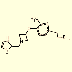 BCCc1ccc(OC2CN(CC3NC=CN3)C2)c(C)c1